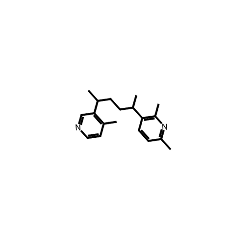 Cc1ccc(C(C)CCC(C)c2cnccc2C)c(C)n1